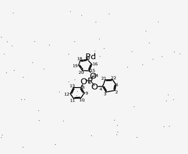 [Pd].c1ccc(OP(Oc2ccccc2)Oc2ccccc2)cc1